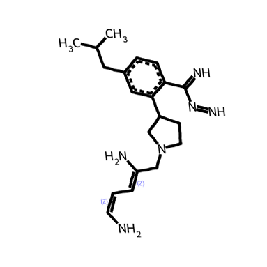 CC(C)Cc1ccc(C(=N)N=N)c(C2CCN(C/C(N)=C/C=C\N)C2)c1